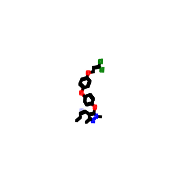 CC/C=C\c1c(C)nn(C)c1Oc1ccc(Oc2ccc(OCC=C(Cl)Cl)cc2)cc1